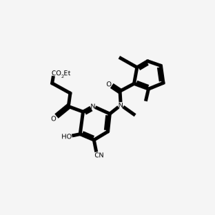 CCOC(=O)CCC(=O)c1nc(N(C)C(=O)c2c(C)cccc2C)cc(C#N)c1O